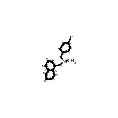 CN(Cc1ccc(I)cc1)Cc1cccc2ccccc12